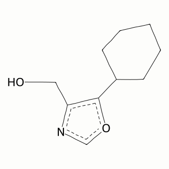 OCc1ncoc1C1CCCCC1